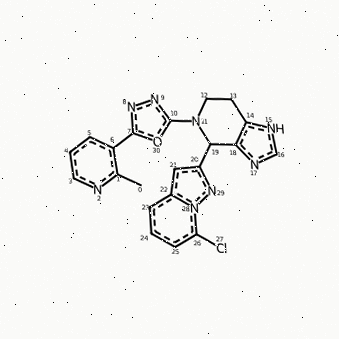 Cc1ncccc1-c1nnc(N2CCc3[nH]cnc3C2c2cc3cccc(Cl)n3n2)o1